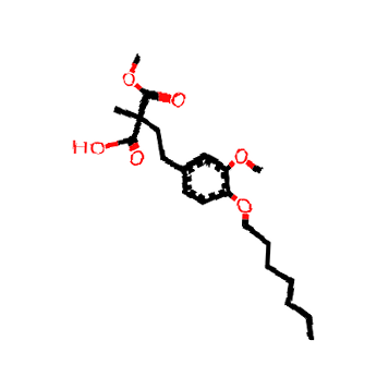 CCCCCCCOc1ccc(CCC(C)(C(=O)O)C(=O)OC)cc1OC